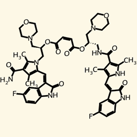 Cc1[nH]c(C=C2C(=O)Nc3ccc(F)cc32)c(C)c1C(=O)NC[C@@H](CN1CCOCC1)OC(=O)/C=C\C(=O)O[C@H](CN1CCOCC1)Cn1c(C)c(C(N)=O)c(C)c1C=C1C(=O)Nc2ccc(F)cc21